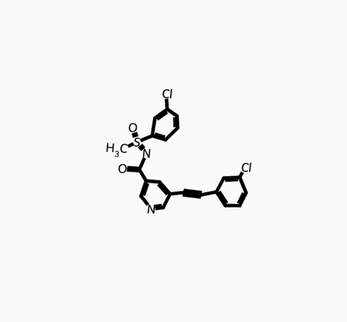 CS(=O)(=NC(=O)c1cncc(C#Cc2cccc(Cl)c2)c1)c1cccc(Cl)c1